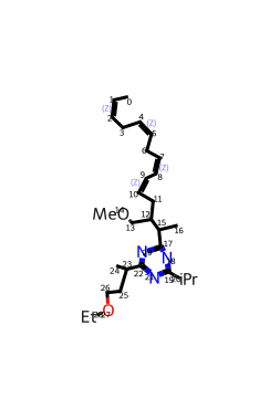 C/C=C\C/C=C\C/C=C\C=C/CC(COC)C(C)c1nc(C(C)C)nc(C(C)CCOCC)n1